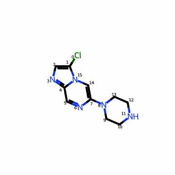 Clc1cnc2cnc(N3CCNCC3)cn12